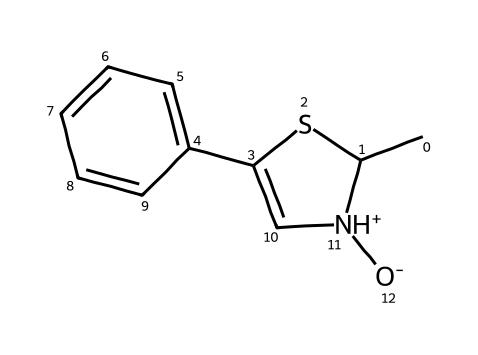 CC1SC(c2ccccc2)=C[NH+]1[O-]